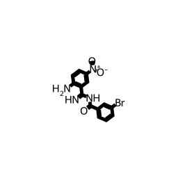 N=C(NC(=O)c1cccc(Br)c1)c1cc([N+](=O)[O-])ccc1N